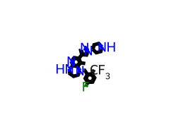 Cc1c(-c2cnn(C3CCNCC3)c2)cnc2c1N(Cc1cc(F)ccc1C(F)(F)F)CCCN2